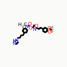 CN(C(=O)Oc1coc(/C=C/c2ccc3c(c2)OC(F)(F)O3)n1)c1ccc(CCCCn2ccnn2)cc1